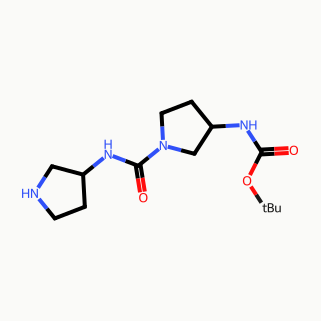 CC(C)(C)OC(=O)NC1CCN(C(=O)NC2CCNC2)C1